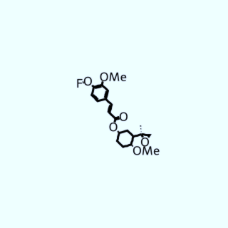 COc1cc(/C=C/C(=O)O[C@@H]2CC[C@@H](OC)C([C@@]3(C)CO3)C2)ccc1OF